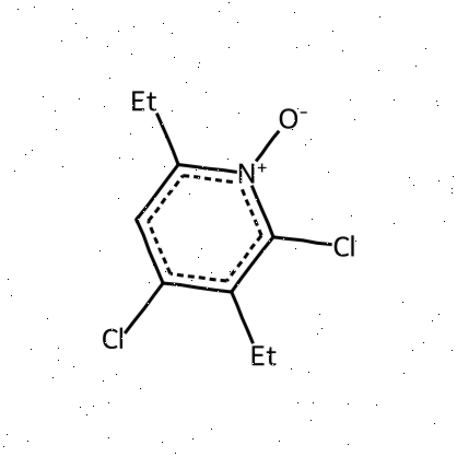 CCc1c(Cl)cc(CC)[n+]([O-])c1Cl